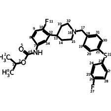 CC(C)OC(=O)Nc1ccc(F)c(C2CCN(Cc3ccc(Sc4ccc(F)cc4)cc3)CC2)c1